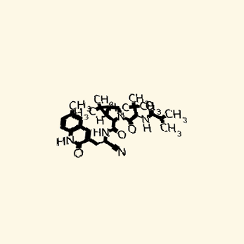 Cc1ccc2[nH]c(=O)c(C[C@H](C#N)NC(=O)C3[C@H]4C(CN3C(=O)[C@H](NC(=O)C(C)C)C(C)(C)C)C4(C)C)cc2c1